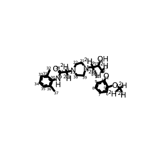 [2H]C([2H])([2H])Oc1ccccc1OC([2H])([2H])C(O)C([2H])([2H])N1CCN(C([2H])([2H])C(=O)Nc2c(C)cccc2C)CC1